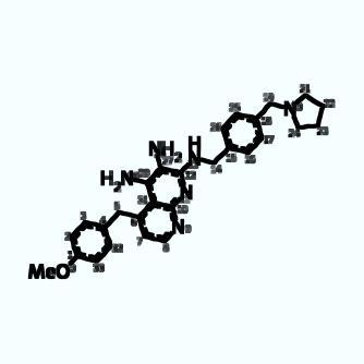 COc1ccc(Cc2ccnc3nc(NCc4ccc(CN5CCCC5)cc4)c(N)c(N)c23)cc1